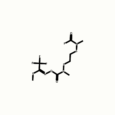 CSC(=NOC(=O)N(C)SCCSN(C)C(=O)F)C(F)(F)F